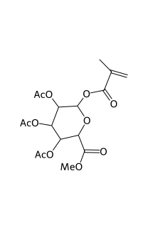 C=C(C)C(=O)OC1OC(C(=O)OC)C(OC(C)=O)C(OC(C)=O)C1OC(C)=O